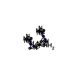 CN(CCOC(=O)c1cc(Cc2ccc(N)c(C(=O)OCCN(C)c3ccc(/C=C/c4ccc(/C=C/C5=C(C#N)C(=C(C#N)C#N)OC5(c5ccccc5)C(F)(F)F)s4)c(OCc4ccccc4)c3)c2)ccc1N)c1ccc(/C=C/c2ccc(/C=C/C3=C(C#N)C(=C(C#N)C#N)OC3(c3ccccc3)C(F)(F)F)s2)c(OCc2ccccc2)c1